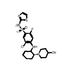 O=S(=O)(Nc1nccs1)c1cc(Cl)c(NC2CCCC[C@@H]2N2CCC(O)CC2)cc1F